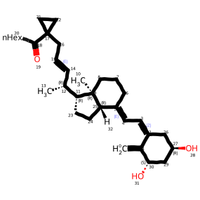 C=C1/C(=C\C=C2/CCC[C@]3(C)[C@@H]([C@H](C)/C=C/CC4(C(=O)CCCCCC)CC4)CC[C@@H]23)C[C@@H](O)C[C@@H]1O